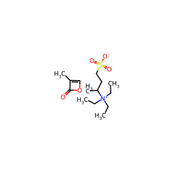 CC1=COC1=O.CC[N+](CC)(CC)C(C)CCS(=O)(=O)[O-]